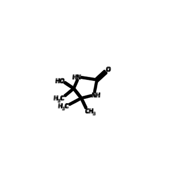 CC1(C)NC(=O)NC1(C)O